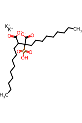 CCCCCCCCCC(C(=O)[O-])C(CCCCCCCCC)(C(=O)[O-])S(=O)(=O)O.[K+].[K+]